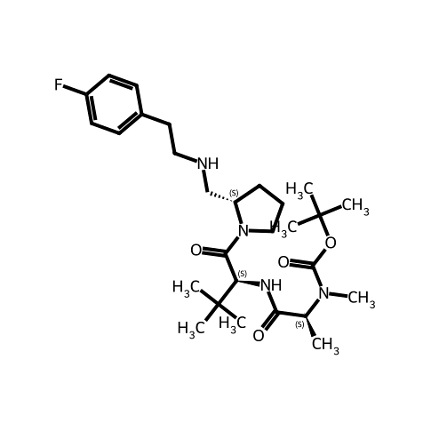 C[C@@H](C(=O)N[C@H](C(=O)N1CCC[C@H]1CNCCc1ccc(F)cc1)C(C)(C)C)N(C)C(=O)OC(C)(C)C